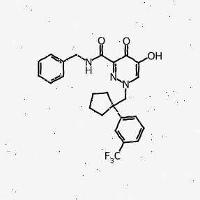 O=C(NCc1ccccc1)c1nn(CC2(c3cccc(C(F)(F)F)c3)CCCC2)cc(O)c1=O